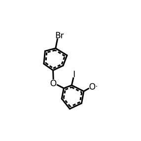 [O]c1cccc(Oc2ccc(Br)cc2)c1I